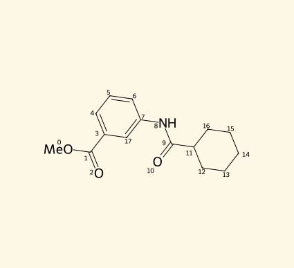 COC(=O)c1cccc(NC(=O)C2CCCCC2)c1